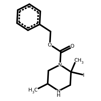 CC1CN(C(=O)OCc2ccccc2)C(C)(I)CN1